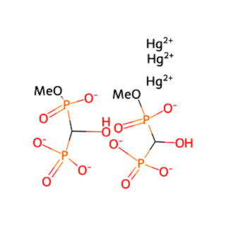 COP(=O)([O-])C(O)P(=O)([O-])[O-].COP(=O)([O-])C(O)P(=O)([O-])[O-].[Hg+2].[Hg+2].[Hg+2]